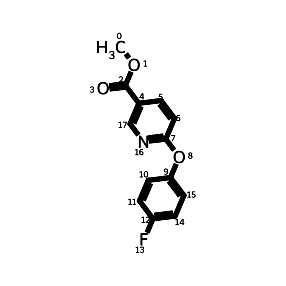 COC(=O)c1ccc(Oc2ccc(F)cc2)nc1